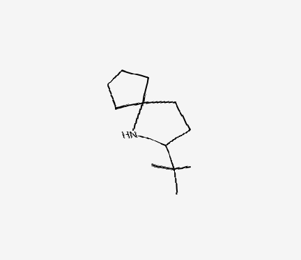 CC(C)(C)C1CCC2(CCCC2)N1